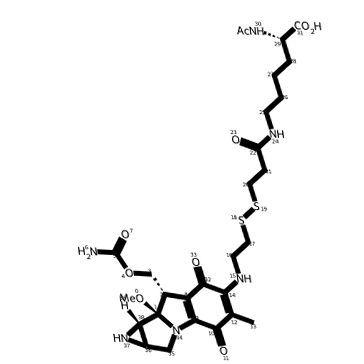 CO[C@@]12[C@H](COC(N)=O)C3=C(C(=O)C(C)=C(NCCSSCCC(=O)NCCCC[C@H](NC(C)=O)C(=O)O)C3=O)N1CC1N[C@@H]12